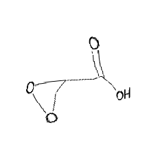 O=C(O)C1OO1